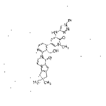 CC(C)n1cc(Nc2cc(-c3ccnc(-n4ccn5c6c(cc5c4=O)CC(C)(C)C6)c3CO)cn(C)c2=O)nn1